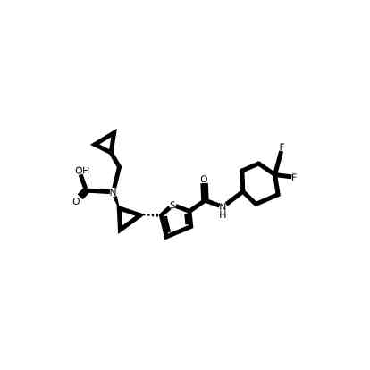 O=C(NC1CCC(F)(F)CC1)c1ccc([C@@H]2C[C@H]2N(CC2CC2)C(=O)O)s1